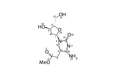 COC(=O)Cc1cn([C@H]2C[C@@H](O)[C@H](CO)O2)c(=O)nc1N